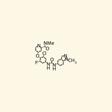 CNC(=O)c1cc(Oc2c(F)cc(NC(=O)Nc3ccc4c(cnn4C)c3)cc2Cl)ccn1